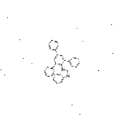 C1=C(c2ccccc2)C=C(c2ccccc2)N(n2cnc3ccccc32)C1c1ccccc1